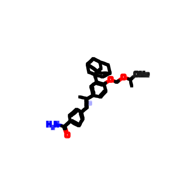 COC(C)OCOc1ccc(/C(C)=C/c2ccc(C(N)=O)cc2)cc1C12CC3CC(CC(C3)C1)C2